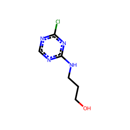 OCCCNc1ncnc(Cl)n1